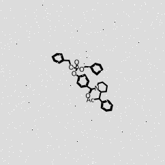 CC(=O)C(c1ccccc1)C1CCCCN1C(=O)c1ccc(OP(=O)(OCc2ccccc2)OCc2ccccc2)cc1